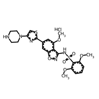 COc1cccc(OC)c1S(=O)(=O)Nc1noc2cc(-c3nc(N4CCNCC4)cs3)cc(OC)c12.Cl